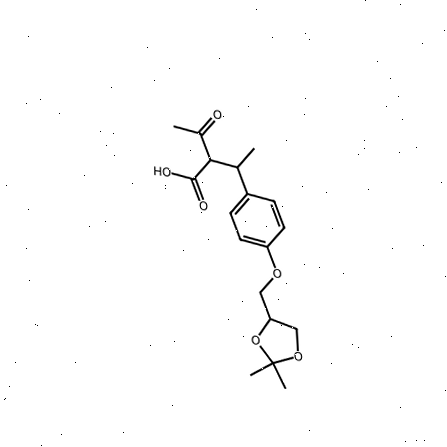 CC(=O)C(C(=O)O)C(C)c1ccc(OCC2COC(C)(C)O2)cc1